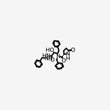 O=C1CC[C@H](C(=O)N(Cc2ccccc2)C(Cc2ccccc2)C(O)C(=O)NNCc2ccccc2)N1